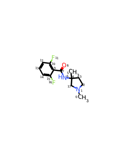 CN1CCC(C)(NC(=O)c2c(F)cccc2F)C1